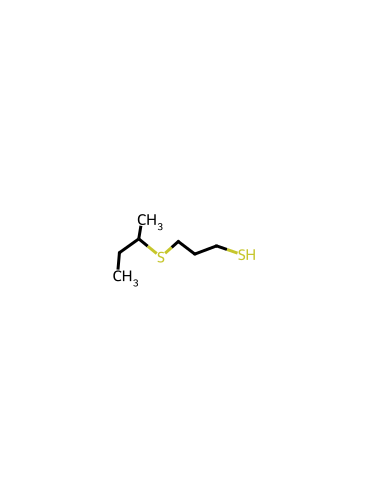 CCC(C)SCCCS